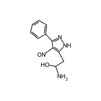 NC(O)Cc1[nH]nc(-c2ccccc2)c1N=O